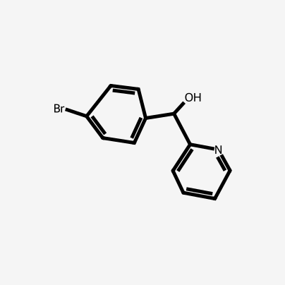 OC(c1ccc(Br)cc1)c1ccccn1